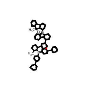 CC1C=CC=C(c2cccc(-c3cccc4c3c3ccccc3n4-c3cccc4c3C(C)(C)c3ccccc3-4)c2)C1N(c1ccc(-c2ccccc2)cc1)c1ccc(-c2ccccc2)cc1